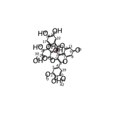 COc1cc(-c2oc3cc(=O)cc4oc(-c5ccc(O)c(O)c5)cc(c2O[C@@H]2O[C@H](CO)[C@@H](O)[C@H](O)[C@H]2O)c43)cc(OC)c1O